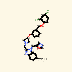 O=C(O)c1ccc2nc(CN3CC(Oc4cccc(COc5ccc(Cl)cc5Cl)c4)C3)n(Cc3cnco3)c2c1